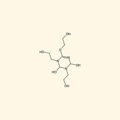 OCCOC1=NC(O)N(CCO)C(O)N1CCO